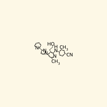 Cc1cc(-n2ccc(-c3ccccn3)n2)c(CCO)c(Nc2ccc(C#N)cc2C)n1